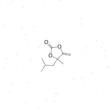 C=C1OC(=O)OC1(C)CC(C)C